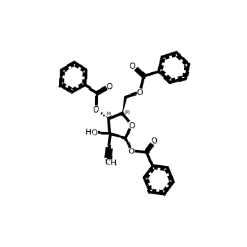 C#CC1(O)C(OC(=O)c2ccccc2)O[C@H](COC(=O)c2ccccc2)[C@H]1OC(=O)c1ccccc1